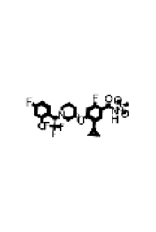 CS(=O)(=O)NC(=O)c1cc(C2CC2)c(O[C@@H]2CCCN([C@H](c3ccc(F)cc3Cl)C(F)(F)F)C2)cc1F